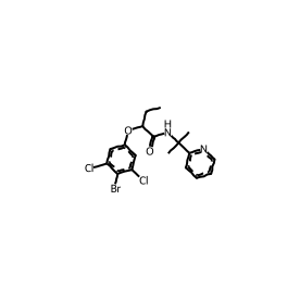 CCC(Oc1cc(Cl)c(Br)c(Cl)c1)C(=O)NC(C)(C)c1ccccn1